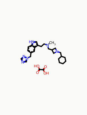 CN(CCc1c[nH]c2ccc(Cn3cncn3)cc12)CC1CN(CC2CCCCC2)C1.O=C(O)C(=O)O